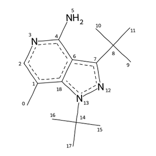 Cc1cnc(N)c2c(C(C)(C)C)nn(C(C)(C)C)c12